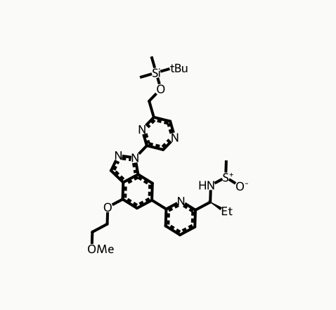 CC[C@H](N[S+](C)[O-])c1cccc(-c2cc(OCCOC)c3cnn(-c4cncc(CO[Si](C)(C)C(C)(C)C)n4)c3c2)n1